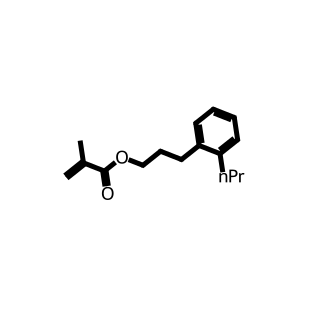 C=C(C)C(=O)OCCCc1ccccc1CCC